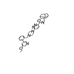 CCOc1cncc(-c2ccccc2CN2CCN(c3ccc(C(=O)N(C)CC45CC6CC(CC(C6)C4)C5)nn3)CC2)c1